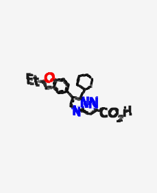 CCc1cc2cc(-c3cnc4cc(C(=O)O)nn4c3C3CCCCC3)ccc2o1